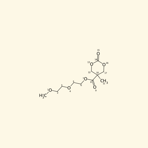 COCCOCCOC(=O)C1(C)COC(=O)OC1